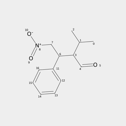 CC(C)C(C=O)C(C[N+](=O)[O-])c1ccccc1